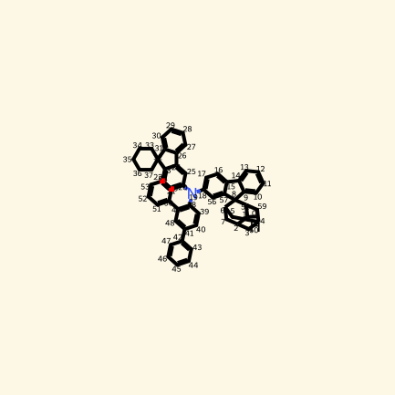 C[C@H]1C2CC3CC(C2)C2(c4ccccc4-c4ccc(N(c5ccc6c(c5)-c5ccccc5C65CCCCC5)c5ccc(-c6ccccc6)cc5-c5ccccc5)cc42)C1C3